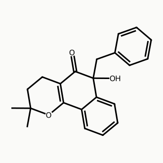 CC1(C)CCC2=C(O1)c1ccccc1C(O)(Cc1ccccc1)C2=O